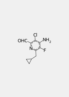 Nc1c(F)c(CC2CC2)nc(C=O)c1Cl